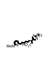 CCOc1ncc([C@H](CCCCCCc2cccc(NC)n2)CC(=O)O)cn1